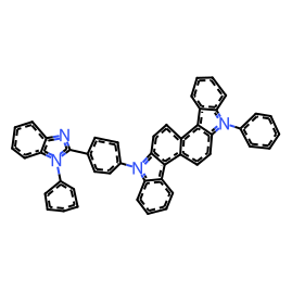 c1ccc(-n2c(-c3ccc(-n4c5ccccc5c5c6ccc7c(c6ccc54)c4ccccc4n7-c4ccccc4)cc3)nc3ccccc32)cc1